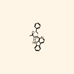 CC(=O)N[C@H](CCc1ccccc1)c1nccc2c1[nH]c1ccccc12